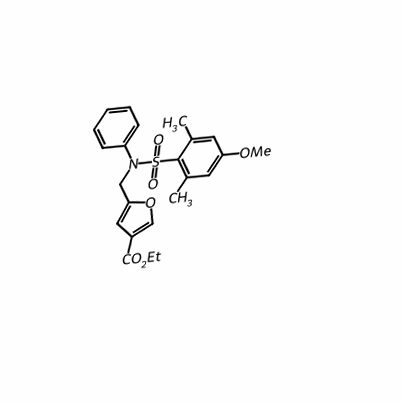 CCOC(=O)c1coc(CN(c2ccccc2)S(=O)(=O)c2c(C)cc(OC)cc2C)c1